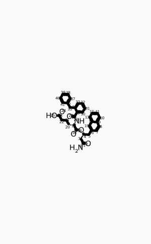 NC(=O)C[C@H](Cc1ccc2ccccc2c1)OC(=O)[C@H](CCCC(=O)O)NC(=O)c1ccccc1Cc1ccccc1